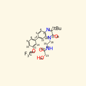 CC(C)(C)c1nc2ccc(-c3cccc(OC(F)(F)F)c3)cc2n(CCNC(=O)CO)c1=O